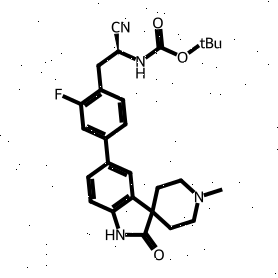 CN1CCC2(CC1)C(=O)Nc1ccc(-c3ccc(C[C@@H](C#N)NC(=O)OC(C)(C)C)c(F)c3)cc12